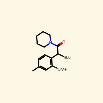 CCCCC(C(=O)N1CCCCC1)c1ccc(C)cc1OC